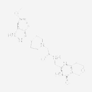 COc1ccc2c(C3CCN(CC(=O)NCc4nc5c(c(=O)[nH]4)COCC5)CC3)n[nH]c2c1